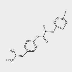 C/C(=C\c1ccc(OC(=O)/C(F)=C/c2ccc(F)cc2)cc1)C(=O)O